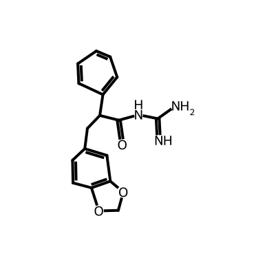 N=C(N)NC(=O)C(Cc1ccc2c(c1)OCO2)c1ccccc1